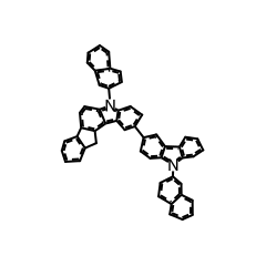 c1ccc2c(c1)Cc1c-2ccc2c1c1cc(-c3ccc4c(c3)c3ccccc3n4-c3ccc4ccccc4c3)ccc1n2-c1ccc2ccccc2c1